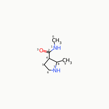 CNC(=O)C1CCNC1C